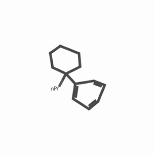 CCCC1(c2cc[c]cc2)CCCCC1